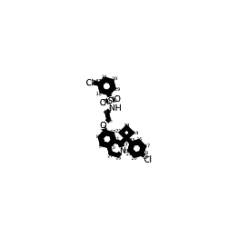 O=S(=O)(NCCOc1ccc2c(c1)C(C1(c3ccc(Cl)cc3)CCC1)=NCC2)c1cccc(Cl)c1